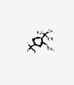 CSc1cc(C(F)(F)F)ccc1C(C)(C)C